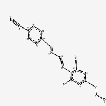 CCCc1cc(F)c(/C=N/N=C/c2ccc(C#N)cc2)c(F)c1